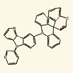 c1cncc(-n2c3ccc(N4c5ccccc5C5(c6ccccc6Oc6ccccc65)c5ccccc54)cc3c3ncccc32)c1